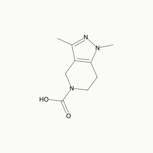 Cc1nn(C)c2c1CN(C(=O)O)CC2